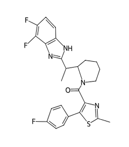 Cc1nc(C(=O)N2CCCCC2C(C)c2nc3c(F)c(F)ccc3[nH]2)c(-c2ccc(F)cc2)s1